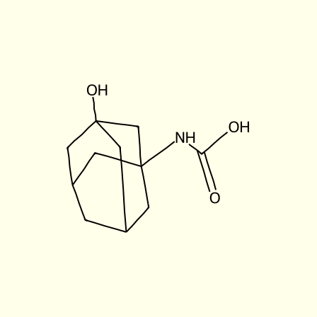 O=C(O)NC12CC3CC(CC(O)(C3)C1)C2